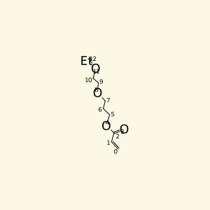 C=CC(=O)OCCCOCCOCC